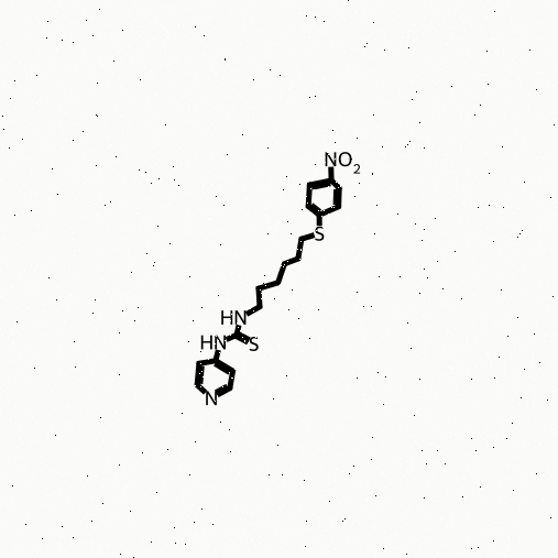 O=[N+]([O-])c1ccc(SCCCCCCNC(=S)Nc2ccncc2)cc1